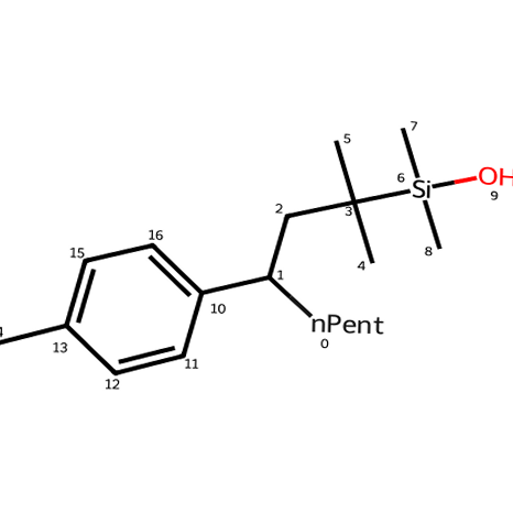 CCCCCC(CC(C)(C)[Si](C)(C)O)c1ccc(C)cc1